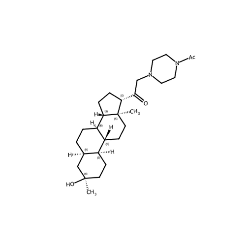 CC(=O)N1CCN(CC(=O)[C@H]2CC[C@H]3[C@@H]4CC[C@@H]5C[C@](C)(O)CC[C@@H]5[C@H]4CC[C@]23C)CC1